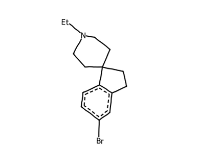 CCN1CCC2(CCc3cc(Br)ccc32)CC1